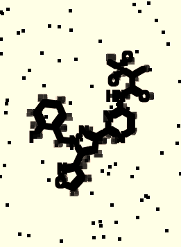 CC(C(=O)Nc1ccnc(-c2cc(-c3ccon3)n(Cc3ccccc3F)n2)n1)S(C)(=O)=O